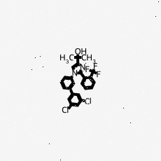 CC(C)(O)c1cn(-c2cccc(-c3cc(Cl)cc(Cl)c3)c2)c(-c2ccccc2C(F)(F)F)n1